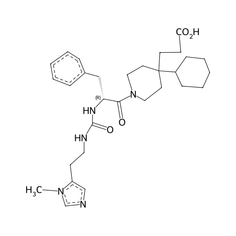 Cn1cncc1CCNC(=O)N[C@H](Cc1ccccc1)C(=O)N1CCC(CCC(=O)O)(C2CCCCC2)CC1